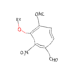 CCOc1c(OC(C)=O)ccc(C=O)c1[N+](=O)[O-]